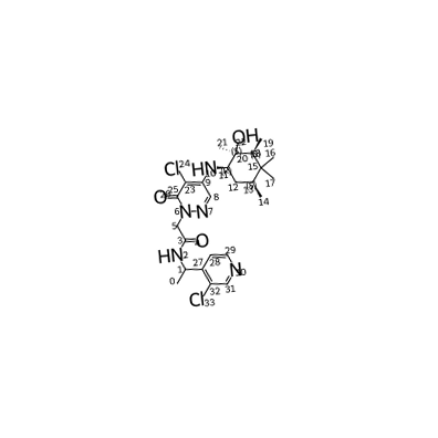 CC(NC(=O)Cn1ncc(N[C@@H]2C[C@H](C)C(C)(C)[C@H](C)[C@]2(C)O)c(Cl)c1=O)c1ccncc1Cl